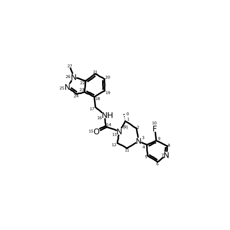 C[C@@H]1CN(c2ccncc2F)CCN1C(=O)NCc1cccc2c1cnn2C